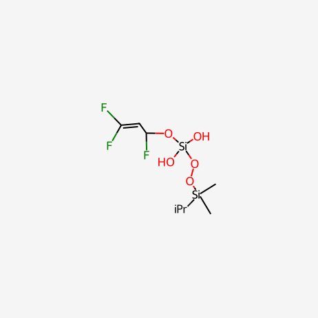 CC(C)[Si](C)(C)OO[Si](O)(O)OC(F)C=C(F)F